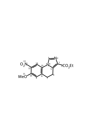 CCOC(=O)c1ncn2c1CCc1cc(OC)c([N+](=O)[O-])cc1-2